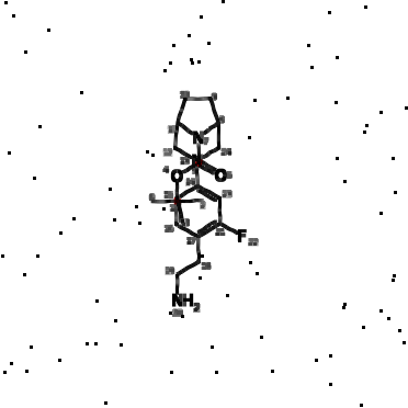 CC(C)(C)OC(=O)N1C2CCC1CN(c1ccc(CCN)c(F)c1)C2